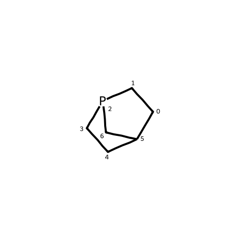 C1CP2CCC1C2